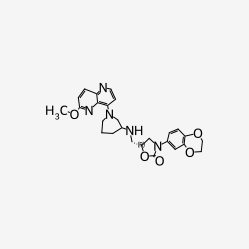 COc1ccc2nccc(N3CCCC(NC[C@@H]4CN(c5ccc6c(c5)OCCO6)C(=O)O4)C3)c2n1